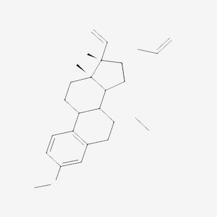 C=CC[C@@H]1CC2C3C(CC[C@]2(C)[C@]1(O)C=C)c1ccc(OC)cc1C[C@H]3CC